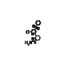 Nc1nc2c(s1)CCCC2c1cc(S(=O)(=O)c2ccccc2)cc(Cl)n1